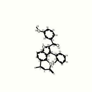 C=C1C=C(C)c2ccc3oc(C(=O)c4cccc(OC)c4)c(-c4ccccc4F)c3c2O1